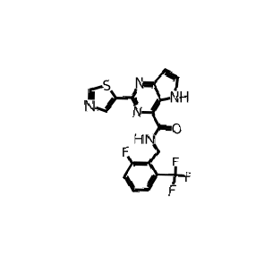 O=C(NCc1c(F)cccc1C(F)(F)F)c1nc(-c2cncs2)nc2cc[nH]c12